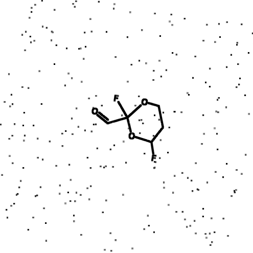 O=CC1(F)OCCC(F)O1